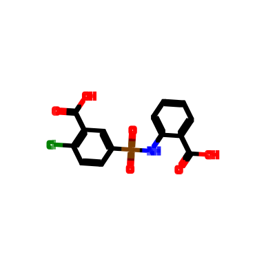 O=C(O)c1cc(S(=O)(=O)Nc2ccccc2C(=O)O)ccc1Cl